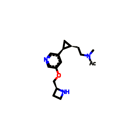 CC(=O)N(C)CC[C@H]1C[C@@H]1c1cncc(OC[C@@H]2CCN2)c1